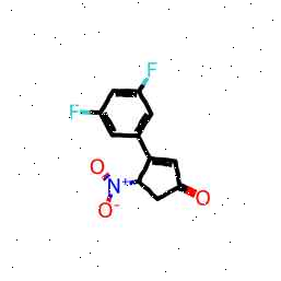 O=C1C=C(c2cc(F)cc(F)c2)C([N+](=O)[O-])C1